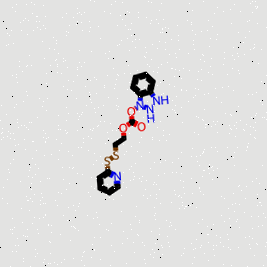 O=C(OCCSSc1ccccn1)ON1NNc2ccccc21